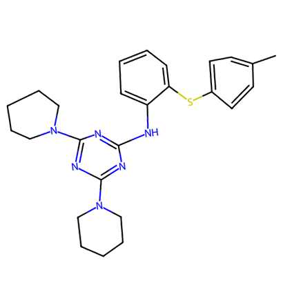 Cc1ccc(Sc2ccccc2Nc2nc(N3CCCCC3)nc(N3CCCCC3)n2)cc1